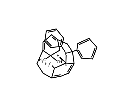 CC1C2=CC=C(CCC3=CC=C(CC2)C(C)(C)C3)[C@H]1P(c1ccccc1)c1ccccc1